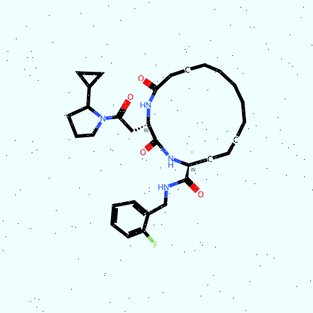 O=C1CCCCCCCCCC[C@@H](C(=O)NCc2ccccc2F)NC(=O)[C@H](CC(=O)N2CCCC2C2CC2)N1